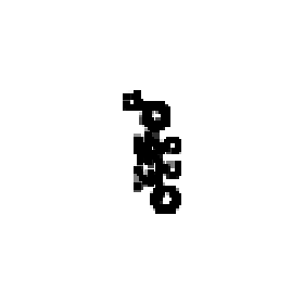 CN(C)N(C(=O)n1nnn(-c2cccc(Cl)c2)c1=O)C1=CCCCC1